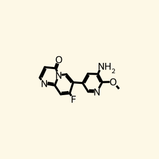 COc1ncc(-c2cn3c(=O)ccnc3cc2F)cc1N